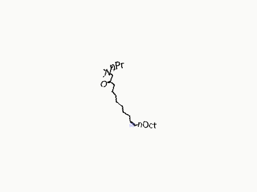 CCCCCCCC/C=C\CCCCCCCC(=O)C[N+](C)(C)CCC